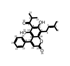 CC(C)=CCc1c(O)c(C(=O)C(C)C)c(O)c2c(-c3ccccc3)cc(=O)oc12